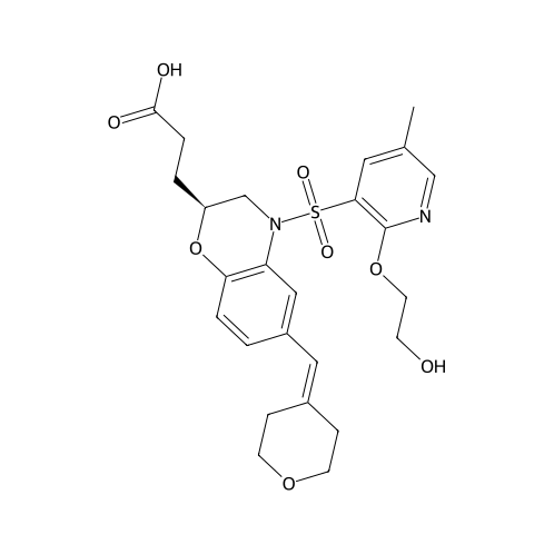 Cc1cnc(OCCO)c(S(=O)(=O)N2C[C@H](CCC(=O)O)Oc3ccc(C=C4CCOCC4)cc32)c1